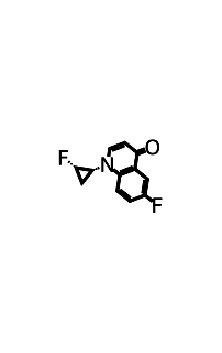 O=c1ccn([C@@H]2C[C@@H]2F)c2ccc(F)cc12